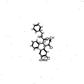 C#CC(=O)N(c1ccc(OC)c(Cl)c1)C(C(=O)NCc1ccccc1)c1ccccc1